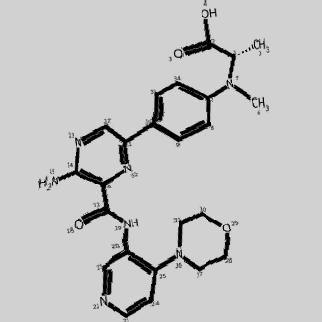 C[C@@H](C(=O)O)N(C)c1ccc(-c2cnc(N)c(C(=O)Nc3cnccc3N3CCOCC3)n2)cc1